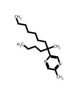 CCCCCCCC(C)(CCCC)c1cnc(C)cn1